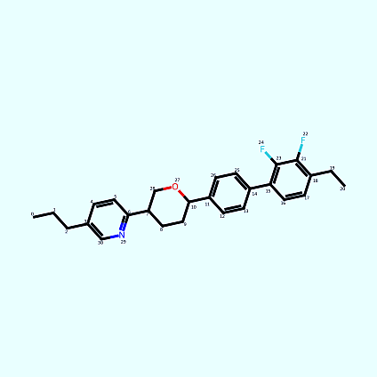 CCCc1ccc(C2CCC(c3ccc(-c4ccc(CC)c(F)c4F)cc3)OC2)nc1